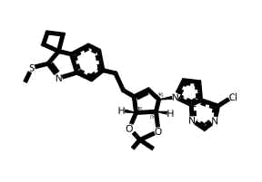 CSC1=Nc2cc(CCC3=C[C@@H](n4ccc5c(Cl)ncnc54)[C@@H]4OC(C)(C)O[C@H]34)ccc2C12CCC2